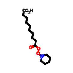 O=C(O)CCCCCCCCC(=O)OON1CCCCC1